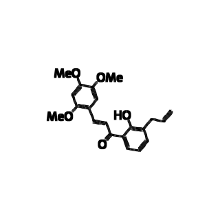 C=CCc1cccc(C(=O)C=Cc2cc(OC)c(OC)cc2OC)c1O